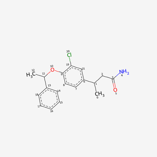 CC(CC(N)=O)c1ccc(OC(C)c2ccccc2)c(Cl)c1